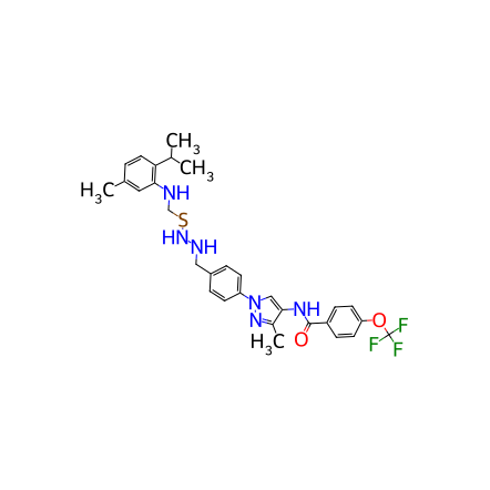 Cc1ccc(C(C)C)c(NCSNNCc2ccc(-n3cc(NC(=O)c4ccc(OC(F)(F)F)cc4)c(C)n3)cc2)c1